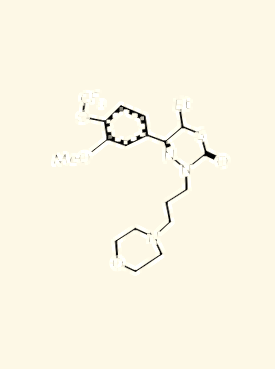 CCC1SC(=O)N(CCCN2CCOCC2)N=C1c1ccc(OC(F)(F)F)c(OC)c1